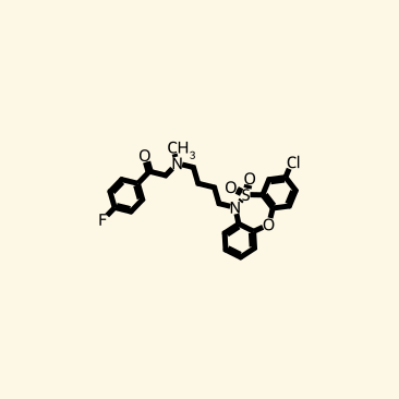 CN(CCCCN1c2ccccc2Oc2ccc(Cl)cc2S1(=O)=O)CC(=O)c1ccc(F)cc1